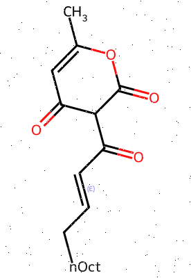 CCCCCCCCC/C=C/C(=O)C1C(=O)C=C(C)OC1=O